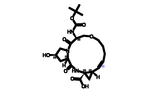 CC(C)(C)OC(=O)N[C@H]1COCCC/C=C\[C@@H]2C[C@@]2(C(=O)O)NC(=O)[C@@H]2C[C@@H](O)CN2C1=O